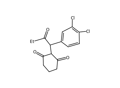 CCC(=O)C(c1ccc(Cl)c(Cl)c1)C1C(=O)CCCC1=O